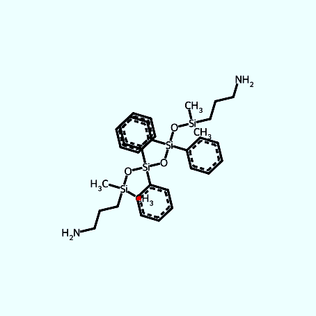 C[Si](C)(CCCN)O[Si](O[Si](O[Si](C)(C)CCCN)(c1ccccc1)c1ccccc1)(c1ccccc1)c1ccccc1